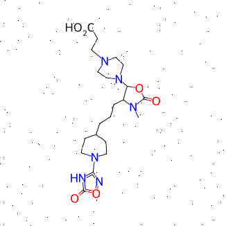 CN1C(=O)OC(N2CCN(CCC(=O)O)CC2)C1CCCC1CCN(c2noc(=O)[nH]2)CC1